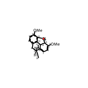 COC1=CC=C2[C@@H]3Cc4ccc(OC)c5c4[C@@]2(CCN3C)[C@H]1O5